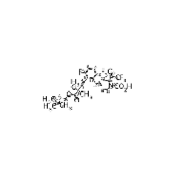 CC(C)(C#Cc1c(F)cccc1CN1CCN(C(=O)O)C(C(C(F)(F)F)C(F)(F)F)C1)C(=O)OCC[Si](C)(C)C